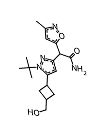 Cc1cc(C(C(N)=O)c2cc(C3CC(CO)C3)n(C(C)(C)C)n2)on1